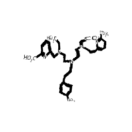 O=C(O)CN(CCN(CCc1ccc([N+](=O)[O-])cc1)CCN(CC(=O)O)Cc1cccc(C(=O)O)n1)Cc1cccc(C(=O)O)n1